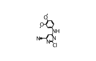 COc1ccc(Nc2cc(C#N)nc(Cl)n2)cc1OC